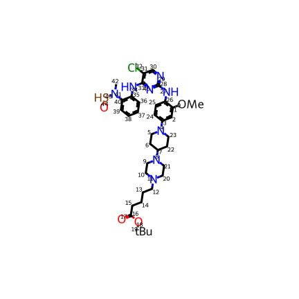 COc1cc(N2CCC(N3CCN(CCCCC(=O)OC(C)(C)C)CC3)CC2)ccc1Nc1ncc(Cl)c(Nc2ccccc2N(C)[SH]=O)n1